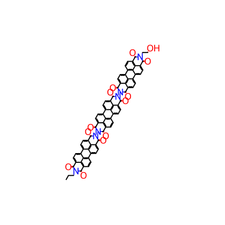 CCCN1C(=O)c2ccc3c4ccc5c6c(ccc(c7ccc(c2c37)C1=O)c64)C(=O)N(N1C(=O)c2ccc3c4ccc6c7c(ccc(c8ccc(c2c38)C1=O)c74)C(=O)N(N1C(=O)c2ccc3c4ccc7c8c(ccc(c9ccc(c2c39)C1=O)c84)C(=O)N(CCO)C7=O)C6=O)C5=O